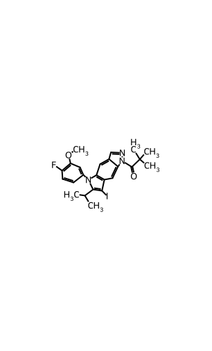 COc1cc(-n2c(C(C)C)c(I)c3cc4c(cnn4C(=O)C(C)(C)C)cc32)ccc1F